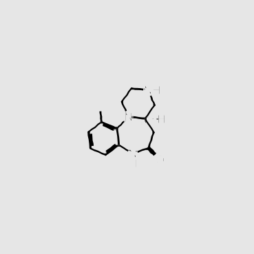 O=C1C[C@@H]2CNCCN2c2c(F)cccc2N1